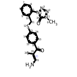 Cn1nnn(-c2ccccc2CSc2ccc(C(=O)/C(I)=C/N)cc2)c1=O